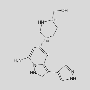 NC1=CC([C@H]2CC[C@@H](CO)NC2)=NC2=C(c3cn[nH]c3)CNN12